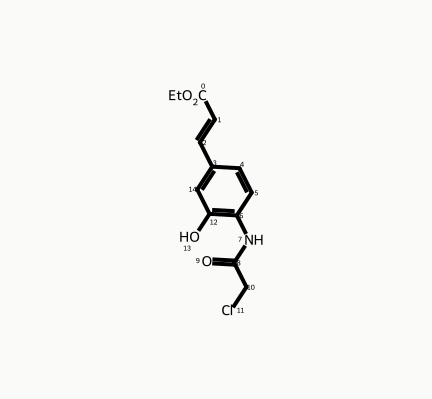 CCOC(=O)C=Cc1ccc(NC(=O)CCl)c(O)c1